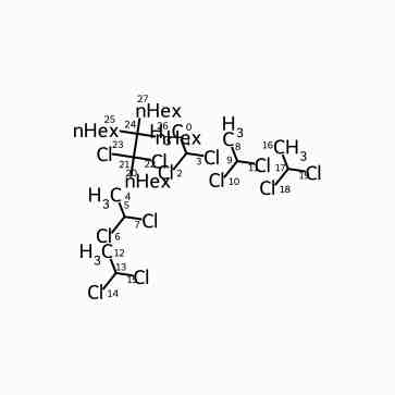 CC(Cl)Cl.CC(Cl)Cl.CC(Cl)Cl.CC(Cl)Cl.CC(Cl)Cl.CCCCCCC(Cl)(Cl)C(CCCCCC)(CCCCCC)CCCCCC